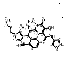 COCCn1ncc([C@H](c2ccccc2C#N)[C@@H](C)c2nc(C(=O)Nc3cnoc3)c(O)c(=O)n2C)c1C